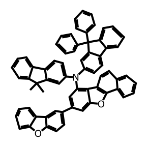 CC1(C)c2ccccc2-c2ccc(N(c3ccc4c(c3)C(c3ccccc3)(c3ccccc3)c3ccccc3-4)c3cc(-c4ccc5oc6ccccc6c5c4)cc4oc5c6ccccc6ccc5c34)cc21